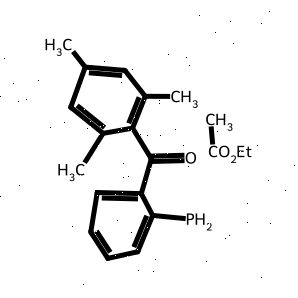 CCOC(C)=O.Cc1cc(C)c(C(=O)c2ccccc2P)c(C)c1